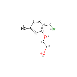 N#Cc1ccc(CBr)c(OCCO)c1